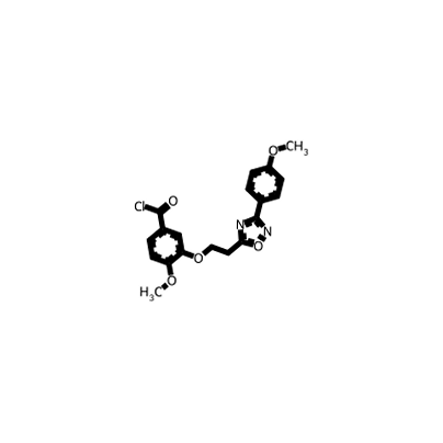 COc1ccc(-c2noc(CCOc3cc(C(=O)Cl)ccc3OC)n2)cc1